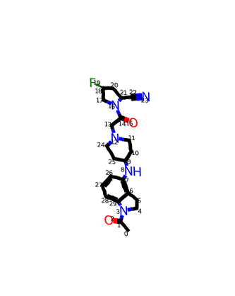 CC(=O)N1CCc2c(NC3CCN(CC(=O)N4C[C@@H](F)CC4C#N)CC3)cccc21